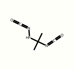 CC(C)(N=C=O)PN=C=O